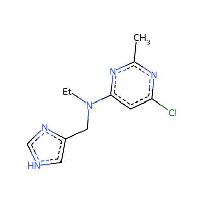 CCN(Cc1c[nH]cn1)c1cc(Cl)nc(C)n1